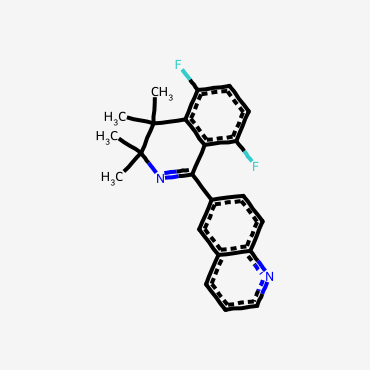 CC1(C)N=C(c2ccc3ncccc3c2)c2c(F)ccc(F)c2C1(C)C